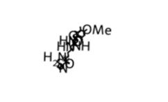 COc1cc(C)c(S(=O)(=O)NC(=N)NCCC[C@H](N)C(=O)c2nccs2)c(C)c1C